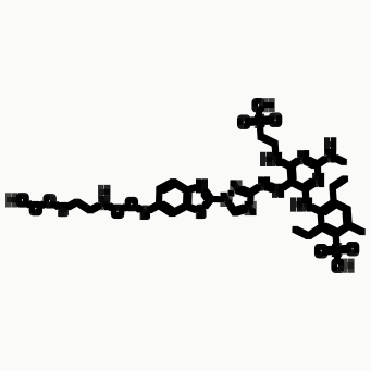 CCc1cc(C)c(S(=O)(=O)O)c(CC)c1Nc1nc(NC)nc(NCCS(=O)(=O)O)c1N=Nc1ncn(-c2nc3ccc(SOONCCSOOO)cc3s2)n1